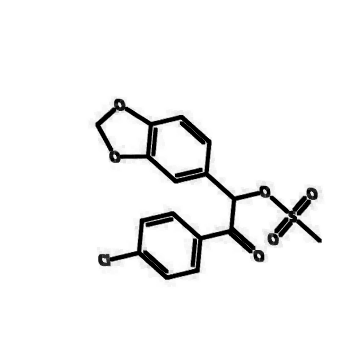 CS(=O)(=O)OC(C(=O)c1ccc(Cl)cc1)c1ccc2c(c1)OCO2